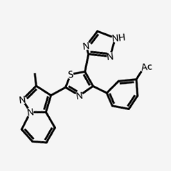 CC(=O)c1cccc(-c2nc(-c3c(C)nn4ccccc34)sc2-c2nc[nH]n2)c1